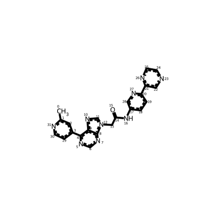 Cc1cc(-c2ncnc3c2ncn3CC(=O)Nc2ccc(-c3cnccn3)nc2)ccn1